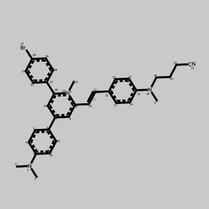 CN(C)c1ccc(-c2cc(/C=C/c3ccc(N(C)CCCC#N)cc3)[n+](C)c(-c3ccc(Br)cc3)c2)cc1